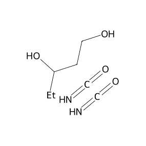 CCC(O)CCO.N=C=O.N=C=O